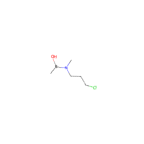 CB(O)N(C)CCCCl